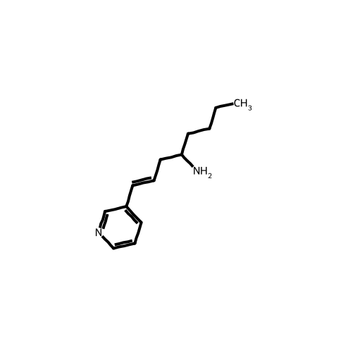 CCCCC(N)CC=Cc1cccnc1